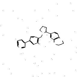 Fc1cc(-c2cccnc2)ccc1CN1CCCC1c1ccc2c(c1)OCCO2